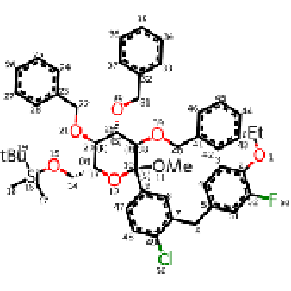 CCOc1ccc(Cc2cc([C@]3(OC)O[C@H](CO[Si](C)(C)C(C)(C)C)[C@@H](OCc4ccccc4)[C@H](OCc4ccccc4)[C@H]3OCc3ccccc3)ccc2Cl)cc1F